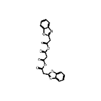 O=C(CC(=O)OC(=O)Cc1nc2ccccc2o1)OC(=O)Cc1nc2ccccc2o1